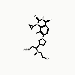 CC(=O)NCC(C1CCN(c2ccc3c(=O)[nH]c(=O)n(C4CC4)c3c2C)C1)N(C)CCC#N